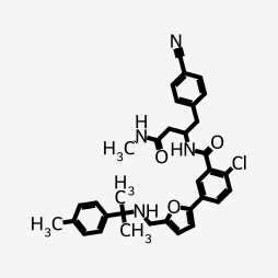 CNC(=O)CC(Cc1ccc(C#N)cc1)NC(=O)c1cc(-c2ccc(CNC(C)(C)c3ccc(C)cc3)o2)ccc1Cl